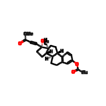 COC(=O)C#C[C@]1(O)CC[C@H]2[C@@H]3CCc4cc(OC(=O)C(C)(C)C)ccc4[C@H]3CC[C@@]21C